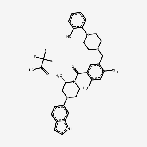 Cc1cc(C)c(C(=O)N2CCN(c3ccc4cc[nH]c4c3)C[C@@H]2C)cc1CN1CCN(c2ccccc2C#N)CC1.O=C(O)C(F)(F)F